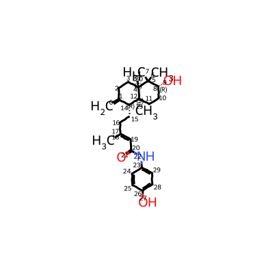 C=C1CC[C@@H]2C(C)(C)[C@H](O)CC[C@@]2(C)[C@@H]1CCC(C)=CC(=O)Nc1ccc(O)cc1